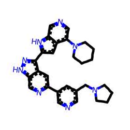 c1ncc(-c2cc3c(-c4cc5c(N6CCCCC6)cncc5[nH]4)n[nH]c3cn2)cc1CN1CCCC1